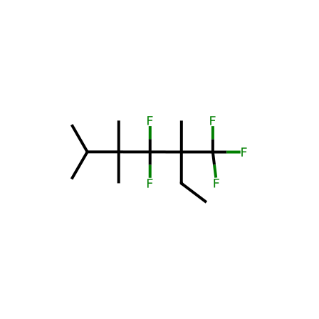 CCC(C)(C(F)(F)F)C(F)(F)C(C)(C)C(C)C